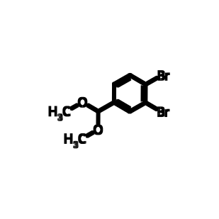 COC(OC)c1ccc(Br)c(Br)c1